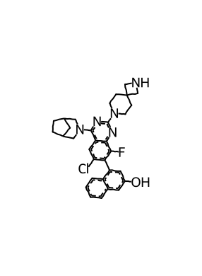 Oc1cc(-c2c(Cl)cc3c(N4CC5CCC(C5)C4)nc(N4CCC5(CC4)CNC5)nc3c2F)c2ccccc2c1